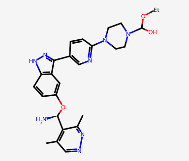 CCOC(O)N1CCN(c2ccc(-c3n[nH]c4ccc(O[C@H](N)c5c(C)cnnc5C)cc34)cn2)CC1